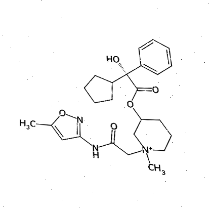 Cc1cc(NC(=O)C[N+]2(C)CCCC(OC(=O)[C@](O)(c3ccccc3)C3CCCC3)C2)no1